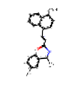 O=C(/C=C/c1ccc(C(=O)O)c2ccccc12)NC(c1cccc(C(F)(F)F)c1)C(F)(F)F